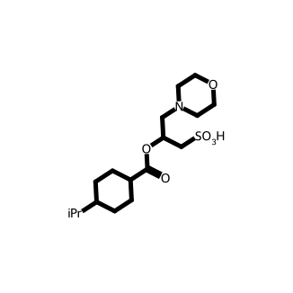 CC(C)C1CCC(C(=O)OC(CN2CCOCC2)CS(=O)(=O)O)CC1